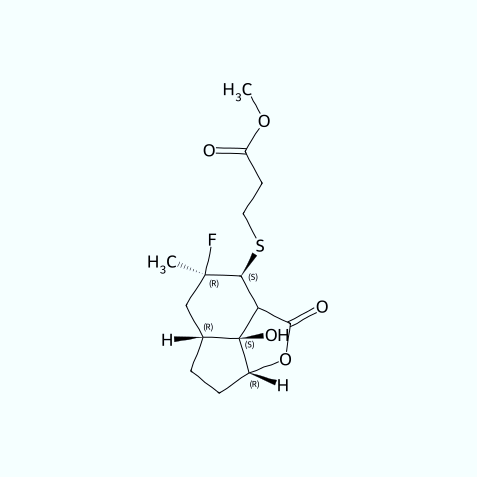 COC(=O)CCS[C@H]1C2C(=O)O[C@@H]3CC[C@H](C[C@@]1(C)F)[C@]23O